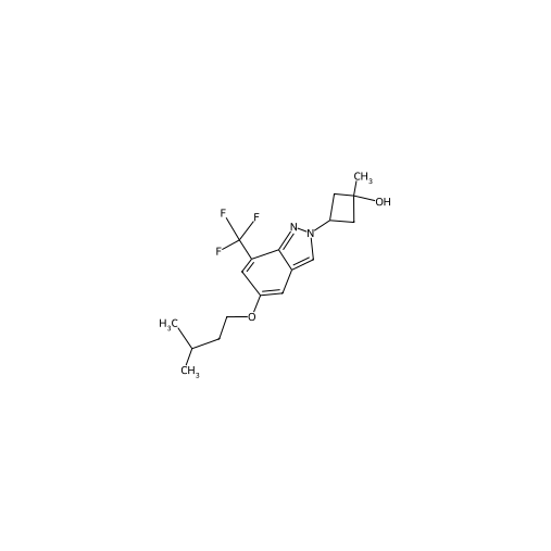 CC(C)CCOc1cc(C(F)(F)F)c2nn(C3CC(C)(O)C3)cc2c1